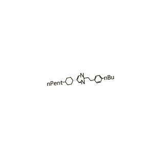 CCCCC[C@H]1CC[C@H](c2cnc(CCc3ccc(CCCC)cc3)nc2)CC1